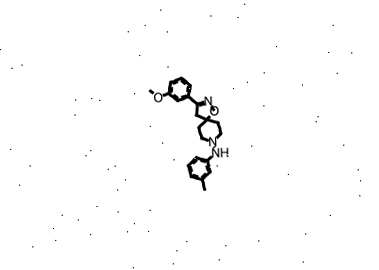 COc1cccc(C2=NOC3(CCN(Nc4cccc(C)c4)CC3)C2)c1